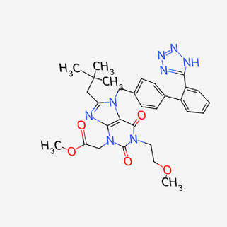 COCCn1c(=O)c2c(nc(CC(C)(C)C)n2Cc2ccc(-c3ccccc3-c3nnn[nH]3)cc2)n(CC(=O)OC)c1=O